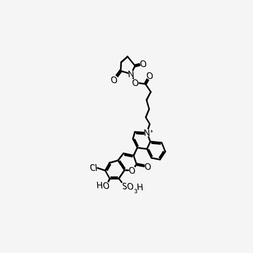 O=C(CCCCC[n+]1ccc(-c2cc3cc(Cl)c(O)c(S(=O)(=O)O)c3oc2=O)c2ccccc21)ON1C(=O)CCC1=O